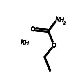 CCOC(N)=O.[KH]